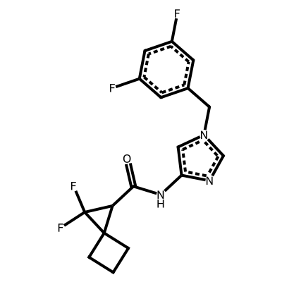 O=C(Nc1cn(Cc2cc(F)cc(F)c2)cn1)C1C(F)(F)C12CCC2